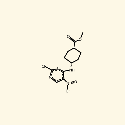 COC(=O)[C@H]1CC[C@H](Nc2nc(Cl)ncc2[N+](=O)[O-])CC1